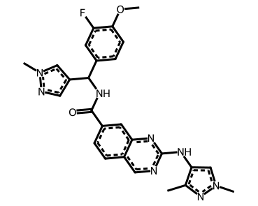 COc1ccc(C(NC(=O)c2ccc3cnc(Nc4cn(C)nc4C)nc3c2)c2cnn(C)c2)cc1F